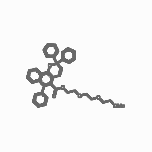 COCCOCCOCCOC(=O)c1c2c(c3ccccc3c1-c1ccccc1)OC(c1ccccc1)(c1ccccc1)C=C2